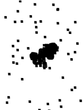 O=C(Cn1nc(Br)n(Cc2ccccc2F)c1=O)NCCc1ccccc1C(F)(F)F